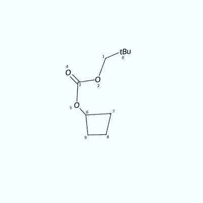 CC(C)(C)COC(=O)OC1CCC1